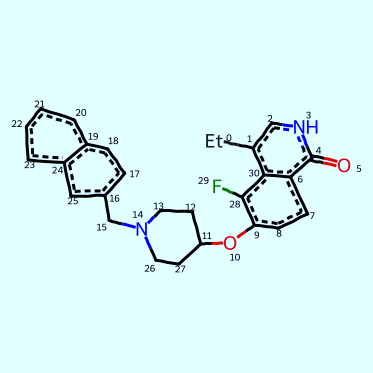 CCc1c[nH]c(=O)c2ccc(OC3CCN(Cc4ccc5ccccc5c4)CC3)c(F)c12